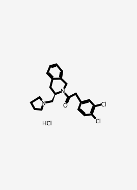 Cl.O=C(Cc1ccc(Cl)c(Cl)c1)N1Cc2ccccc2C[C@@H]1CN1CCCC1